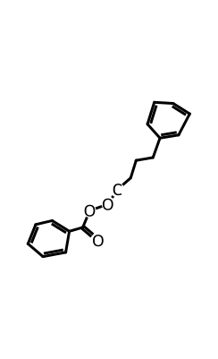 O=C(OOCCCCc1ccccc1)c1ccccc1